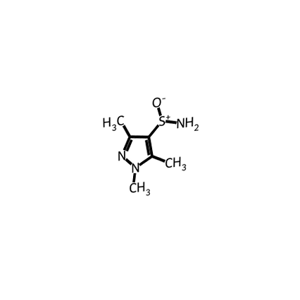 Cc1nn(C)c(C)c1[S+](N)[O-]